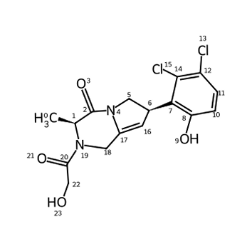 C[C@H]1C(=O)N2C[C@@H](c3c(O)ccc(Cl)c3Cl)C=C2CN1C(=O)CO